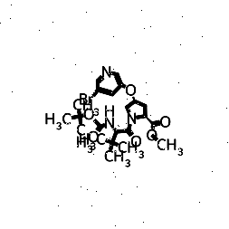 COC(=O)[C@@H]1C[C@@H](Oc2cncc(Br)c2)CN1C(=O)C(NC(=O)OC(C)(C)C)C(C)(C)C